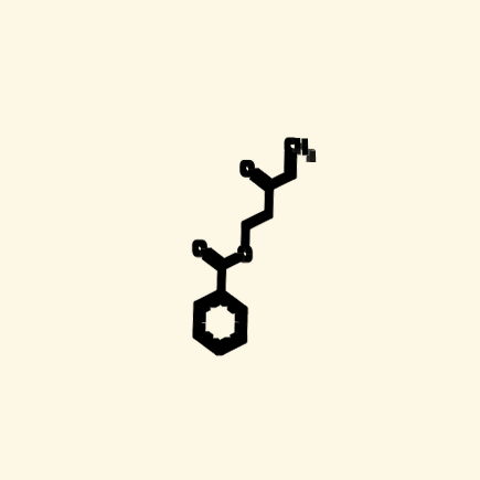 C=CC(=O)CCOC(=O)c1ccccc1